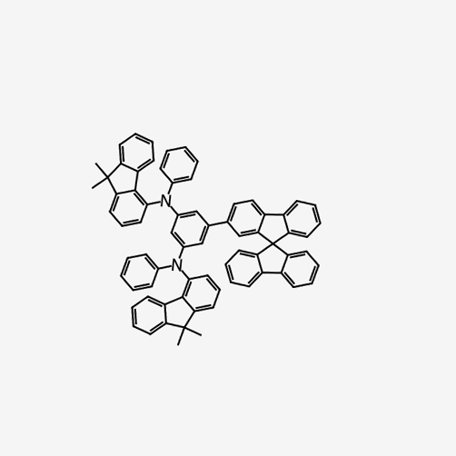 CC1(C)c2ccccc2-c2c(N(c3ccccc3)c3cc(-c4ccc5c(c4)C4(c6ccccc6-c6ccccc64)c4ccccc4-5)cc(N(c4ccccc4)c4cccc5c4-c4ccccc4C5(C)C)c3)cccc21